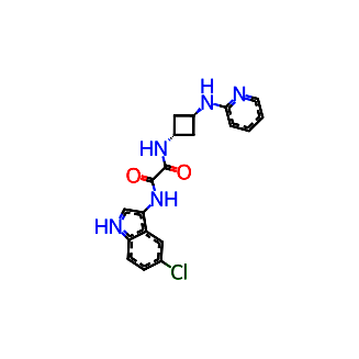 O=C(Nc1c[nH]c2ccc(Cl)cc12)C(=O)N[C@H]1C[C@H](Nc2ccccn2)C1